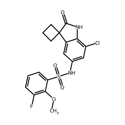 COc1c(F)cccc1S(=O)(=O)Nc1cc(Cl)c2c(c1)C1(CCC1)C(=O)N2